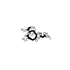 C/C=C(/C)[C@H]1C/C=C(\C)[C@@H](O)[C@H](OC(=O)CC(C)C)C(=O)C/C=C(/C)C(=O)O1